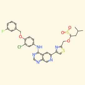 CC(C)CC(OCc1nc(-c2cc3c(Nc4ccc(OCc5cccc(F)c5)c(Cl)c4)ncnc3cn2)cs1)=S(=O)=O